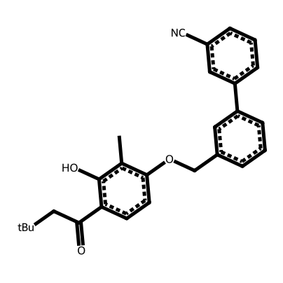 Cc1c(OCc2cccc(-c3cccc(C#N)c3)c2)ccc(C(=O)CC(C)(C)C)c1O